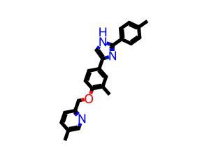 Cc1ccc(-c2nc(-c3ccc(OCc4ccc(C)cn4)c(C)c3)c[nH]2)cc1